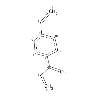 C=CC(=O)c1ccc(C=C)cc1